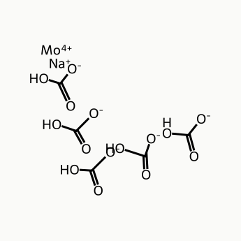 O=C([O-])O.O=C([O-])O.O=C([O-])O.O=C([O-])O.O=C([O-])O.[Mo+4].[Na+]